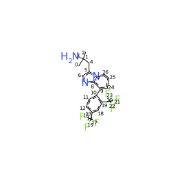 CC(C)(N)Cc1cnc2c(-c3ccc(C(F)(F)F)cc3C(F)(F)F)cccn12